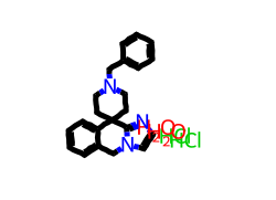 Cl.Cl.O.O.c1ccc(CN2CCC3(CC2)c2ccccc2Cn2ccnc23)cc1